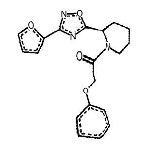 O=C(COc1ccccc1)N1CCCC[C@@H]1c1nc(-c2ccco2)no1